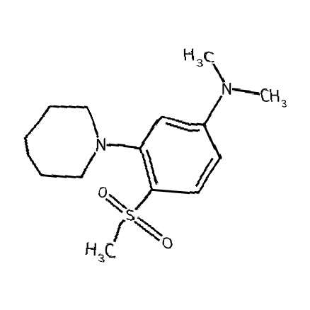 CN(C)c1ccc(S(C)(=O)=O)c(N2CCCCC2)c1